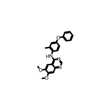 COc1cc2ncnc(Nc3ccc(Oc4ccccc4)cc3C)c2cc1OC